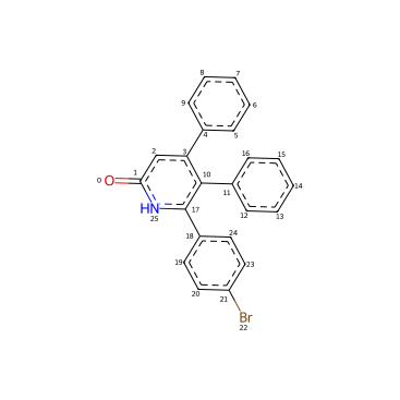 O=c1cc(-c2ccccc2)c(-c2ccccc2)c(-c2ccc(Br)cc2)[nH]1